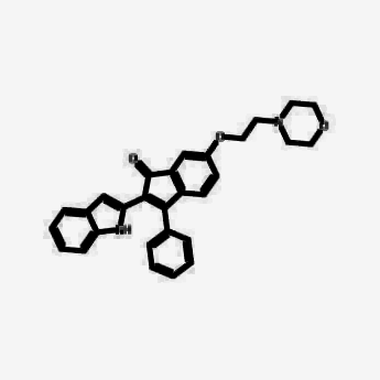 O=C1C(c2cc3ccccc3[nH]2)=C(c2ccccc2)c2ccc(OCCN3CCOCC3)cc21